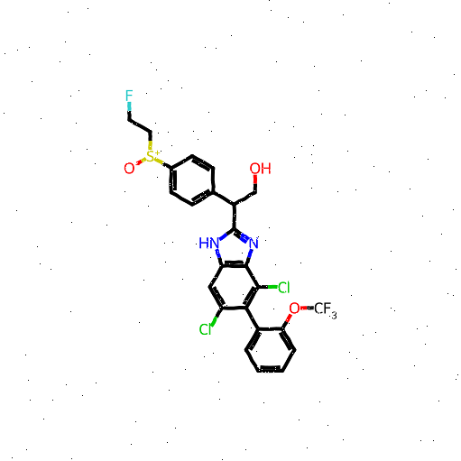 [O-][S+](CCF)c1ccc(C(CO)c2nc3c(Cl)c(-c4ccccc4OC(F)(F)F)c(Cl)cc3[nH]2)cc1